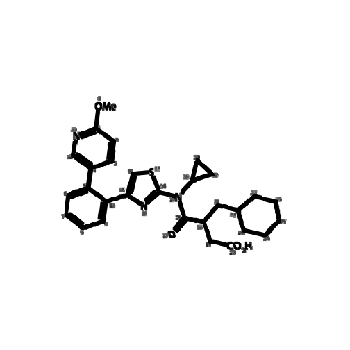 COc1ccc(-c2ccccc2-c2csc(N(C(=O)C(CC(=O)O)CC3CCCCC3)C3CC3)n2)cn1